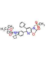 CC(C)(C)OC(=O)NC1(c2ccc(-c3nc4c(cc3-c3ccccc3)N(CS(C)(=O)=O)C(=O)CO4)cc2)CCC1